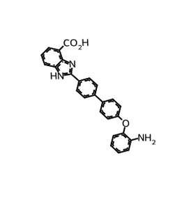 Nc1ccccc1Oc1ccc(-c2ccc(-c3nc4c(C(=O)O)cccc4[nH]3)cc2)cc1